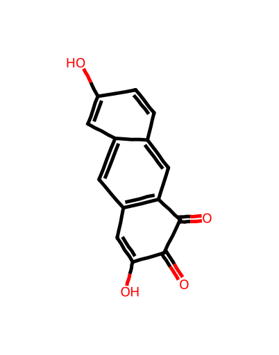 O=C1C(=O)c2cc3ccc(O)cc3cc2C=C1O